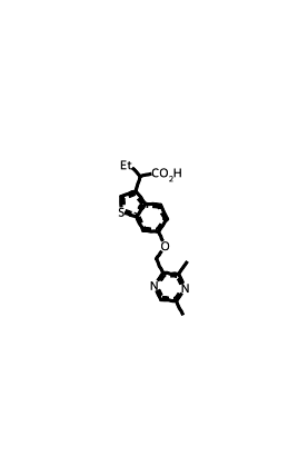 CCC(C(=O)O)c1csc2cc(OCc3ncc(C)nc3C)ccc12